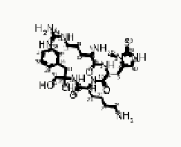 Cn1c(C[C@H](NC(=O)C(N)CCCNC(=N)N)C(=O)N[C@@H](CCCCN)C(=O)NC(C=O)(CO)Cc2ccccc2)c[nH]c1=S